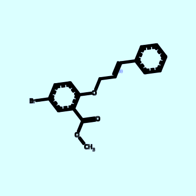 COC(=O)c1cc(Br)ccc1OC/C=C/c1ccccc1